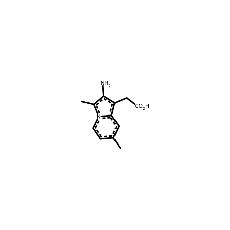 Cc1ccn2c(C)c(N)c(CC(=O)O)c2c1